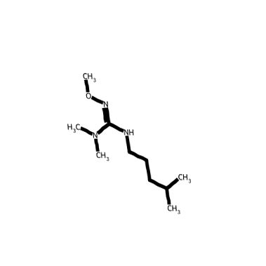 CO/N=C(/NCCCC(C)C)N(C)C